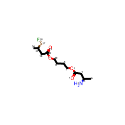 CC(N)CC(=O)OCCCCOC(=O)CC(C)SF